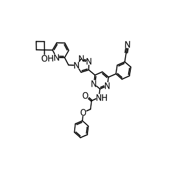 N#Cc1cccc(-c2cc(-c3cn(Cc4cccc(C5(O)CCC5)n4)nn3)nc(NC(=O)COc3ccccc3)n2)c1